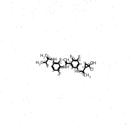 C=C(Nc1c(F)ccc(NC(=C)C(C)F)c1F)c1cc(NC(=C)C2CC2(O)Cl)cc(F)c1F